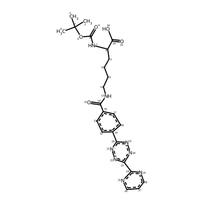 CC(C)(C)OC(=O)NC(CCCCNC(=O)c1ccc(-c2nnc(-c3ncccn3)nn2)cc1)C(=O)O